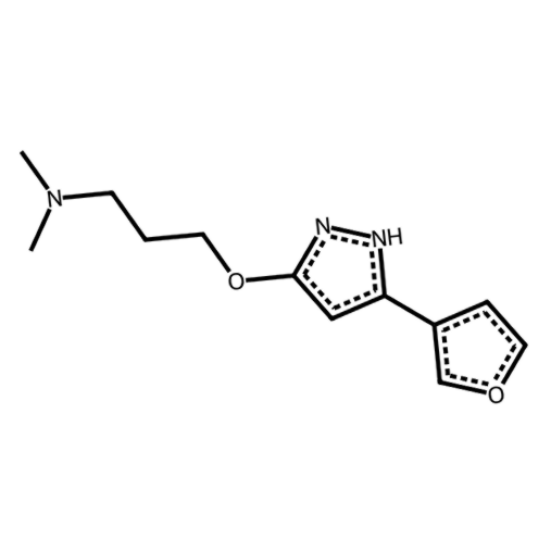 CN(C)CCCOc1cc(-c2ccoc2)[nH]n1